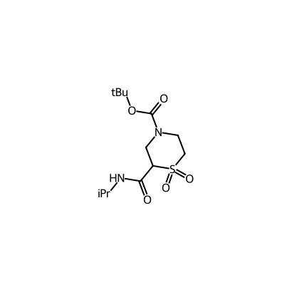 CC(C)NC(=O)C1CN(C(=O)OC(C)(C)C)CCS1(=O)=O